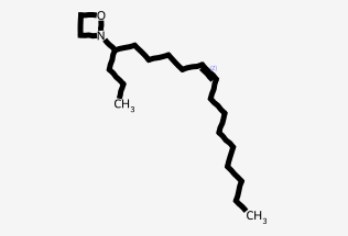 CCCCCCCC/C=C\CCCCC(CCC)N1CCO1